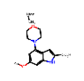 CC(C)Oc1cc(N2CCOCC2)c2cc(C(=O)O)[nH]c2c1.CNC